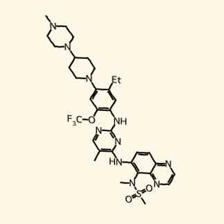 CCc1cc(Nc2ncc(C)c(Nc3ccc4nccnc4c3N(C)S(C)(=O)=O)n2)c(OC(F)(F)F)cc1N1CCC(N2CCN(C)CC2)CC1